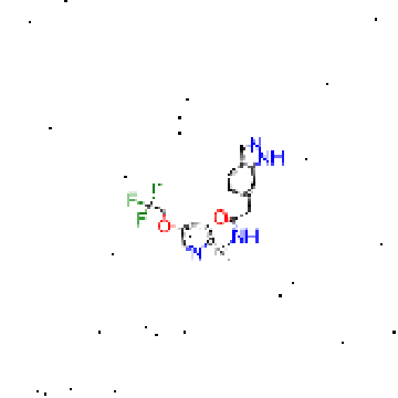 C[C@@H](NC(=O)Cc1ccc2cn[nH]c2c1)c1ccc(OCC(F)(F)F)cn1